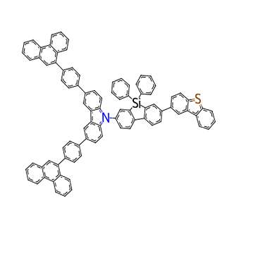 c1ccc([Si]2(c3ccccc3)c3cc(-c4ccc5sc6ccccc6c5c4)ccc3-c3ccc(-n4c5ccc(-c6ccc(-c7cc8ccccc8c8ccccc78)cc6)cc5c5cc(-c6ccc(-c7cc8ccccc8c8ccccc78)cc6)ccc54)cc32)cc1